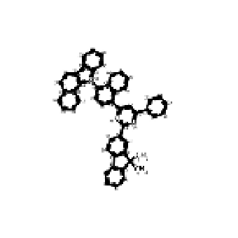 CC1(C)c2ccccc2-c2ccc(-c3nc(-c4ccccc4)cc(-c4ccc(-n5c6ccccc6c6ccc7ccccc7c65)c5ccccc45)n3)cc21